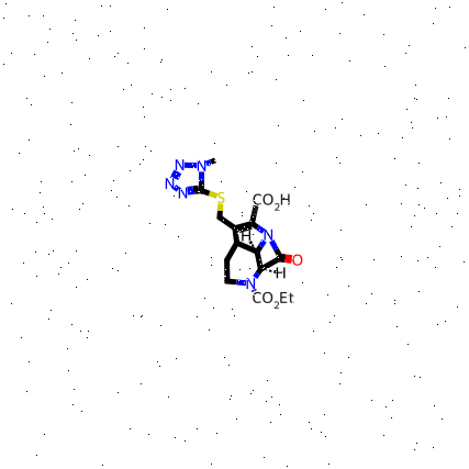 CCOC(=O)N1CCC2C(CSc3nnnn3C)=C(C(=O)O)N3C(=O)[C@@H]1[C@@H]23